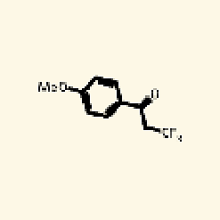 COc1ccc(C(=O)CC(F)(F)F)cc1